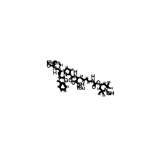 CC(C)C[C@@H](/C=C/[C@H](Cc1ccccc1)C(=O)N1CCC[C@H]1C(=O)N[C@@H](CCCCNC(=O)OC1CC(C)(C)N(O)C(C)(C)C1)C(=O)NC(C)(C)C)NC(=O)OC(C)(C)C